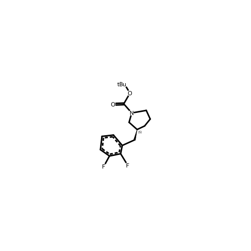 CC(C)(C)OC(=O)N1CCC[C@@H](Cc2cccc(F)c2F)C1